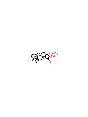 CCC1CCC[C@H]2[C@@H]3CCc4cc(OS(N)(=O)=O)c(OC)cc4[C@H]3CC[C@]12CC